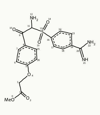 COC(=O)COc1ccc(C(=O)C(N)S(=O)(=O)c2ccc(C(=N)N)cc2)cc1